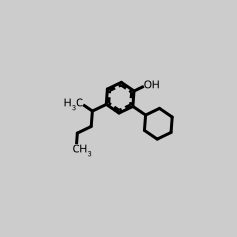 CCCC(C)c1ccc(O)c(C2CCCCC2)c1